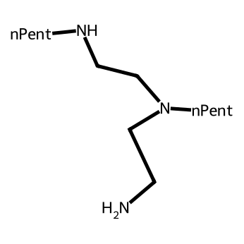 CCCCCNCCN(CCN)CCCCC